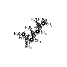 CNc1cccc(C(=O)N[C@@H](CCCCN)C(=O)Nc2ccc(OC)c(C(=O)N[C@@H](CCCCN)C(=O)Nc3ccc(OC)c(C(=O)N[C@@H](CCCCN)C(=O)Nc4ccc(OC)c(C(N)=O)c4)c3)c2)c1